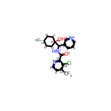 O=C(NC(c1cccnc1)[C@]1(O)CC[C@H](F)CC1)c1nccc(C(F)(F)F)c1Cl